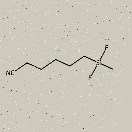 C[Si](F)(F)CCCCCC#N